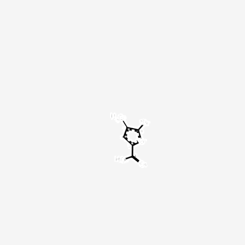 Cc1cc(C(=O)O)oc1Br